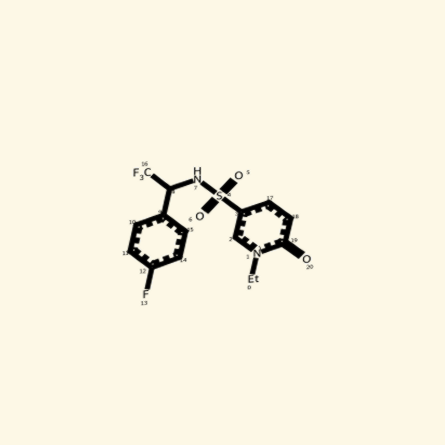 CCn1cc(S(=O)(=O)NC(c2ccc(F)cc2)C(F)(F)F)ccc1=O